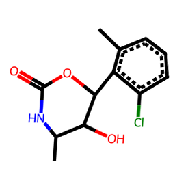 Cc1cccc(Cl)c1C1OC(=O)NC(C)C1O